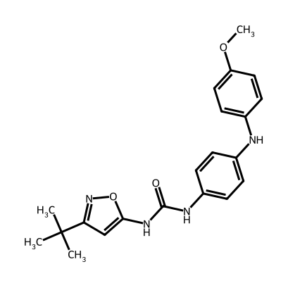 COc1ccc(Nc2ccc(NC(=O)Nc3cc(C(C)(C)C)no3)cc2)cc1